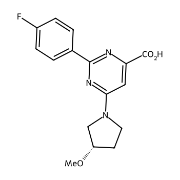 CO[C@H]1CCN(c2cc(C(=O)O)nc(-c3ccc(F)cc3)n2)C1